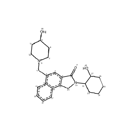 O=C1c2cc(CN3CCC(O)CC3)c3ccccc3c2CN1C1CCCCC1O